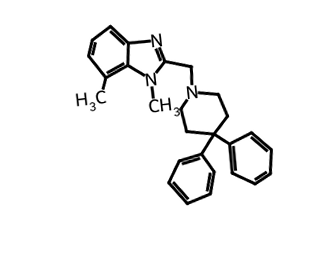 Cc1cccc2nc(CN3CCC(c4ccccc4)(c4ccccc4)CC3)n(C)c12